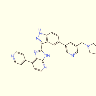 c1cc(-c2ccnc3[nH]c(-c4n[nH]c5ccc(-c6cncc(CN7CCCC7)c6)cc45)nc23)ccn1